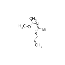 C=CCS/C(Br)=N\C(C)OC